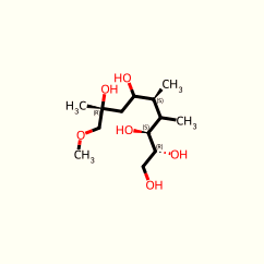 COC[C@](C)(O)CC(O)[C@@H](C)C(C)[C@H](O)[C@H](O)CO